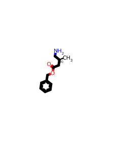 C[C@H](CN)CC(=O)OCc1ccccc1